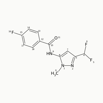 Cn1nc(C(F)F)cc1NC(=O)c1ccc(F)cc1